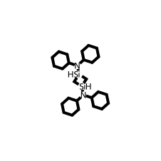 C1CCC(N(C2CCCCC2)[SiH]2C[SiH](N(C3CCCCC3)C3CCCCC3)C2)CC1